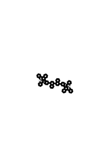 c1ccc(-n2c3ccc(-c4ccc(-c5ccc(-c6ccc7c(c6)c6c8ccccc8c8c9ccccc9sc8c6n7-c6ccccc6)c6ccccc56)c5ccccc45)cc3c3c4ccccc4c4c5ccccc5sc4c32)cc1